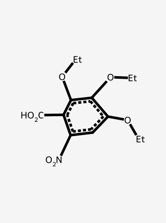 CCOc1cc([N+](=O)[O-])c(C(=O)O)c(OCC)c1OCC